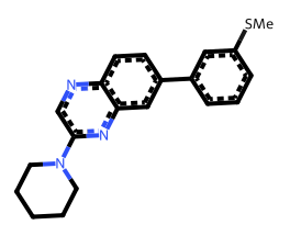 CSc1cccc(-c2ccc3ncc(N4CCCCC4)nc3c2)c1